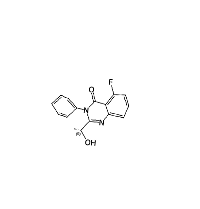 C[C@@H](O)c1nc2cccc(F)c2c(=O)n1-c1ccccc1